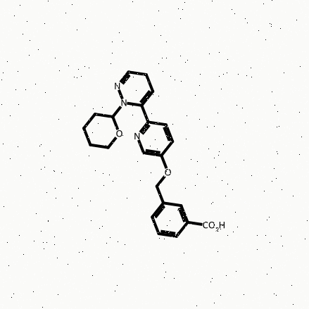 O=C(O)c1cccc(COc2ccc(C3=CCC=NN3C3CCCCO3)nc2)c1